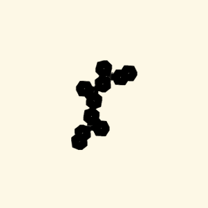 c1ccc2cc(-n3c4ccccc4c4cc(-c5ccc6c(c5)c5ccccc5n6-c5ccc6c(c5)c5ccccc5n6-c5ccc6ccccc6c5)ccc43)ccc2c1